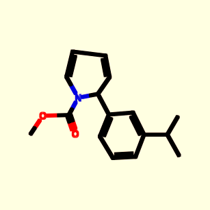 COC(=O)N1C=CC=CC1c1cccc(C(C)C)c1